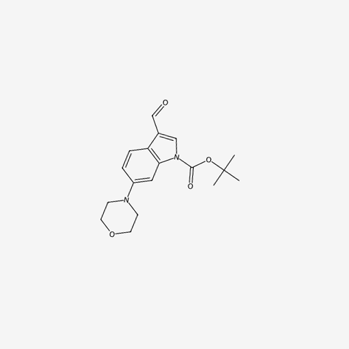 CC(C)(C)OC(=O)n1cc(C=O)c2ccc(N3CCOCC3)cc21